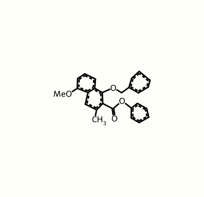 COc1cccc2c(OCc3ccccc3)c(C(=O)Oc3ccccc3)c(C)cc12